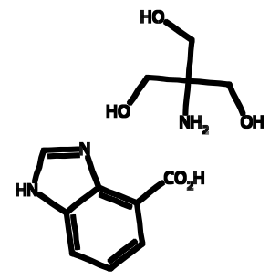 NC(CO)(CO)CO.O=C(O)c1cccc2[nH]cnc12